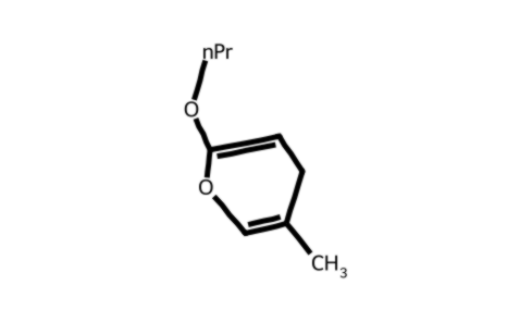 CCCOC1=CCC(C)=CO1